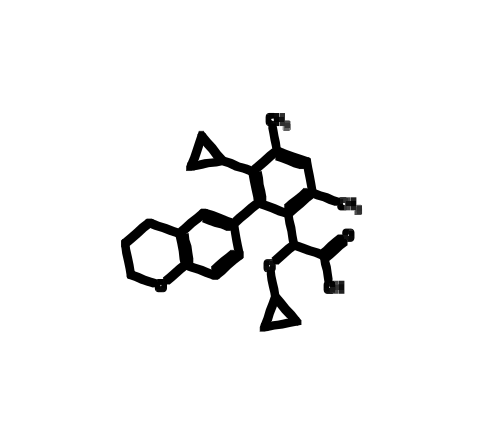 Cc1cc(C)c(C(OC2CC2)C(=O)O)c(-c2ccc3c(c2)CCCO3)c1C1CC1